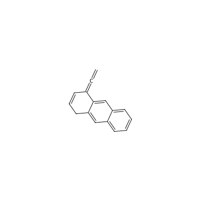 C=C=C1C=CCc2cc3ccccc3cc21